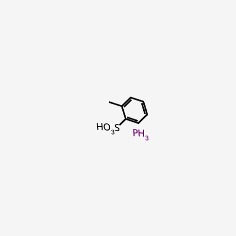 Cc1ccccc1S(=O)(=O)O.P